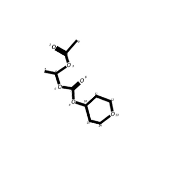 CC(=O)OC(C)OC(=O)OC1CCOCC1